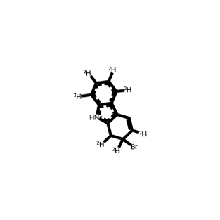 [2H]C1=Cc2c([nH]c3c([2H])c([2H])c([2H])c([2H])c23)C([2H])C1([2H])Br